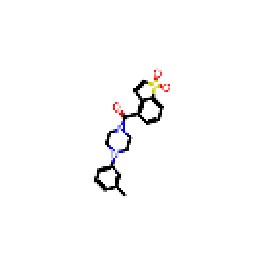 Cc1cccc(N2CCN(C(=O)c3cccc4c3C=CS4(=O)=O)CC2)c1